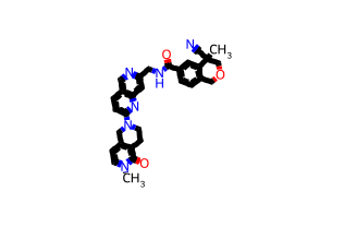 Cn1ccc2c(c1=O)CCN(c1ccc3cnc(CNC(=O)c4ccc5c(c4)C(C)(C#N)COC5)cc3n1)C2